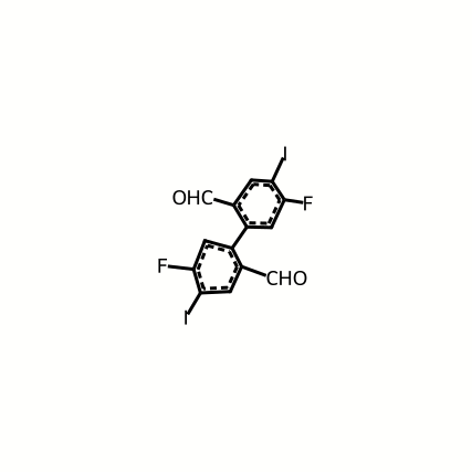 O=Cc1cc(I)c(F)cc1-c1cc(F)c(I)cc1C=O